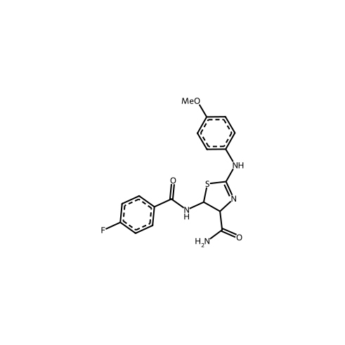 COc1ccc(NC2=NC(C(N)=O)C(NC(=O)c3ccc(F)cc3)S2)cc1